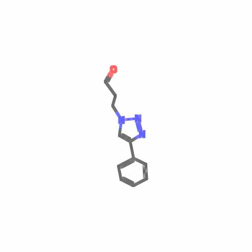 O=CCCn1cc(-c2ccccc2)nn1